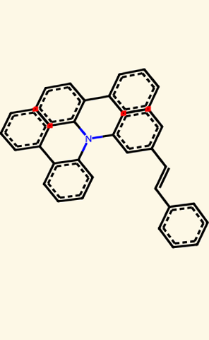 C(=C\c1cccc(N(c2ccccc2-c2ccccc2)c2ccccc2-c2ccccc2)c1)/c1ccccc1